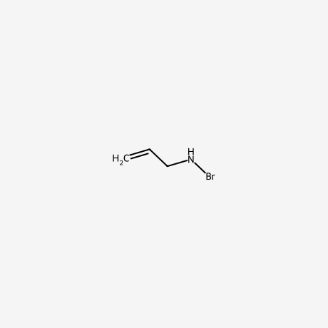 C=CCNBr